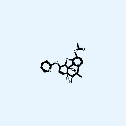 CC(=O)Oc1ccc2c3c1OC1C(Oc4ccccn4)C=C[C@H]4[C@@H](C2)N(C)CC[C@]314